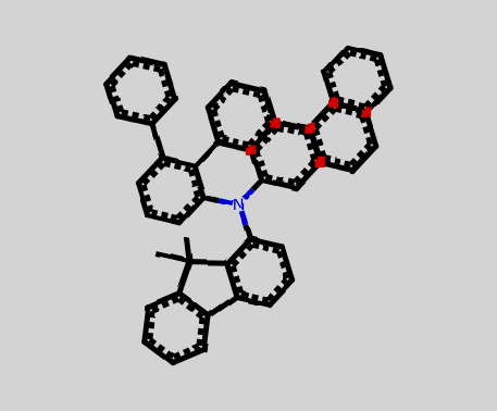 CC1(C)c2ccccc2-c2cccc(N(c3ccc(-c4ccccc4)cc3)c3cccc(-c4ccccc4)c3-c3cccc(-c4ccccc4)c3)c21